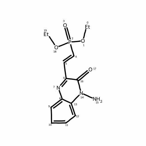 CCOP(=O)(/C=C/c1nc2ccccc2n(N)c1=O)OCC